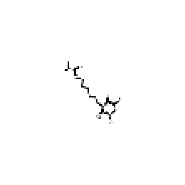 C=C(C)C(=O)OCCCCCCn1c(=O)c(F)cn(CC)c1=O